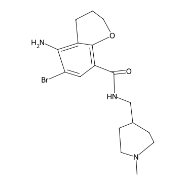 CN1CCC(CNC(=O)c2cc(Br)c(N)c3c2OCCC3)CC1